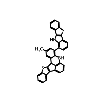 Cc1cc(-c2cccc3c2[nH]c2c4ccccc4sc32)c2c(c1)C1c3sc4ccccc4c3-c3cccc(c31)B2